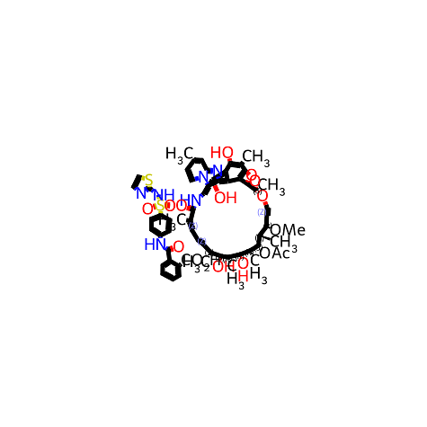 CO[C@H]1/C=C\O[C@@]2(C)Oc3c(C)c(O)c4c(O)c(c5c(nc6cc(C)ccn65)c4c3C2=O)NC(=O)/C(C)=C\C=C/[C@H](C)[C@H](O)[C@@H](C)[C@@H](O)[C@@H](C)[C@H](OC(C)=O)[C@@H]1C.O=C(O)c1ccccc1C(=O)Nc1ccc(S(=O)(=O)Nc2nccs2)cc1